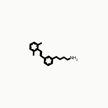 Cc1cccc(C)c1/C=C/c1cccc(CCCCN)c1